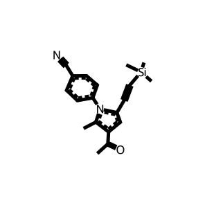 CC(=O)c1cc(C#C[Si](C)(C)C)n(-c2ccc(C#N)cc2)c1C